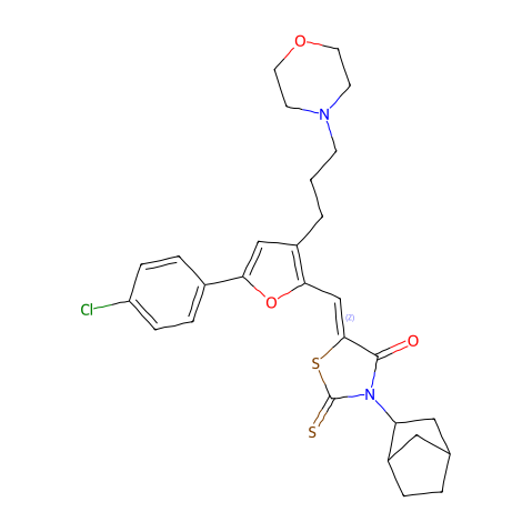 O=C1/C(=C/c2oc(-c3ccc(Cl)cc3)cc2CCCN2CCOCC2)SC(=S)N1C1CC2CCC1C2